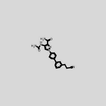 N#CCCc1cccc(-c2ccc(-n3cc(NC(N)=O)c(C(N)=O)n3)cc2)c1